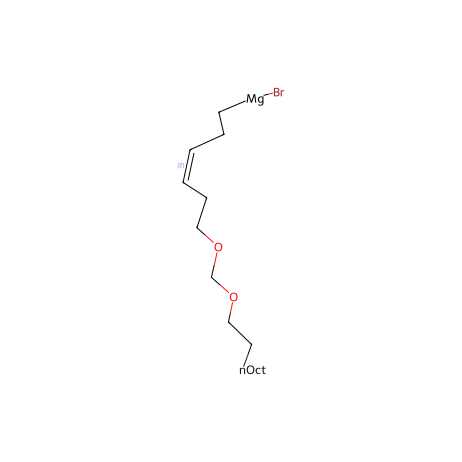 CCCCCCCCCCOCOCC/C=C\C[CH2][Mg][Br]